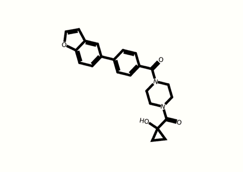 O=C(c1ccc(-c2ccc3occc3c2)cc1)N1CCN(C(=O)C2(O)CC2)CC1